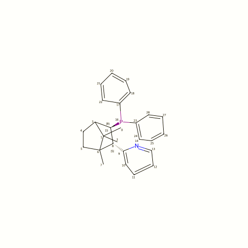 CC1(C)C2CCC1(C)[C@@H](c1ccccn1)[C@@H]2P(c1ccccc1)c1ccccc1